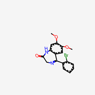 COc1cc2c(cc1OC)C(c1ccccc1Br)=NCC(=O)N2